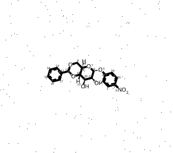 O=[N+]([O-])c1ccc(O[C@H]2O[C@@H]3COC(c4ccccc4)O[C@H]3[C@H](O)[C@@H]2O)cc1